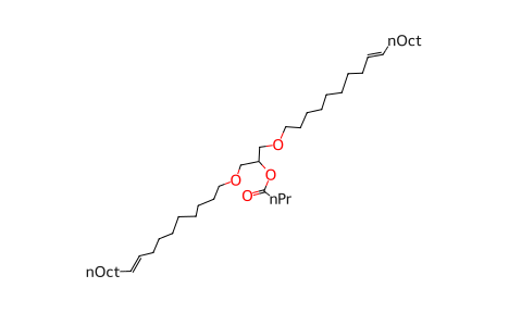 CCCCCCCCC=CCCCCCCCCOCC(COCCCCCCCCC=CCCCCCCCC)OC(=O)CCC